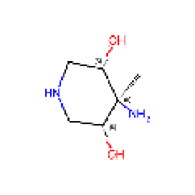 C[C@]1(N)[C@H](O)CNC[C@@H]1O